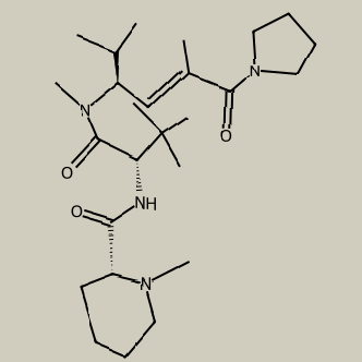 C/C(=C\[C@H](C(C)C)N(C)C(=O)[C@@H](NC(=O)[C@H]1CCCCN1C)C(C)(C)C)C(=O)N1CCCC1